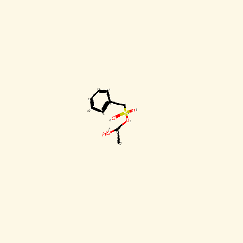 C[C@@H](O)OS(=O)(=O)Cc1ccccc1